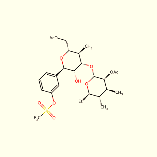 CC[C@H]1O[C@H](O[C@H]2[C@H](C)[C@@H](COC(C)=O)O[C@H](c3cccc(OS(=O)(=O)C(F)(F)F)c3)[C@H]2O)[C@@H](OC(C)=O)[C@@H](C)[C@@H]1C